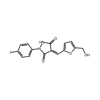 O=C1NN(c2ccc(I)cc2)C(=O)/C1=C/c1ccc(CO)o1